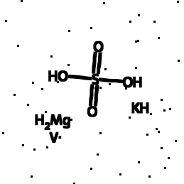 O=S(=O)(O)O.[KH].[MgH2].[V]